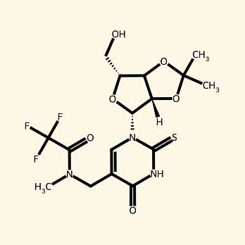 CN(Cc1cn([C@@H]2O[C@H](CO)C3OC(C)(C)O[C@@H]32)c(=S)[nH]c1=O)C(=O)C(F)(F)F